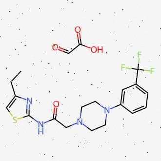 CCc1csc(NC(=O)CN2CCN(c3cccc(C(F)(F)F)c3)CC2)n1.O=CC(=O)O